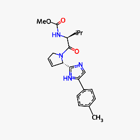 COC(=O)N[C@H](C(=O)N1CC=C[C@H]1c1ncc(-c2ccc(C)cc2)[nH]1)C(C)C